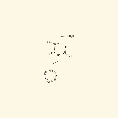 C=C(S)N(CCc1ccccc1)C(=O)N(CCC(=O)O)C(C)C